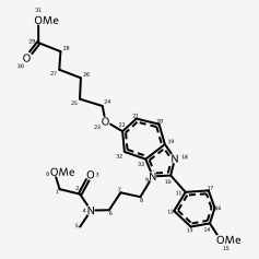 COCC(=O)N(C)CCCn1c(-c2ccc(OC)cc2)nc2ccc(OCCCCCC(=O)OC)cc21